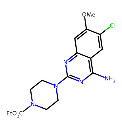 CCOC(=O)N1CCN(c2nc(N)c3cc(Cl)c(OC)cc3n2)CC1